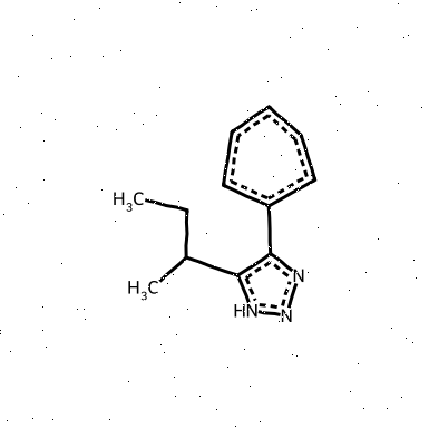 CCC(C)c1[nH]nnc1-c1ccccc1